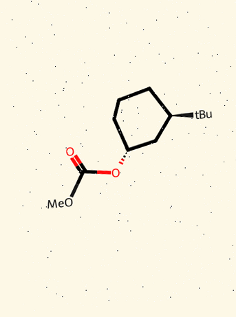 COC(=O)O[C@@H]1CCC[C@@H](C(C)(C)C)C1